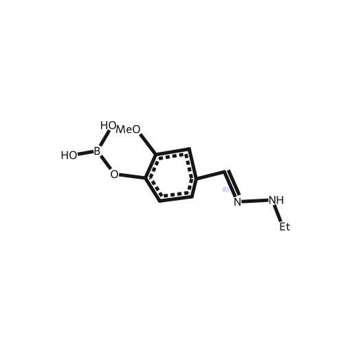 CCN/N=C/c1ccc(OB(O)O)c(OC)c1